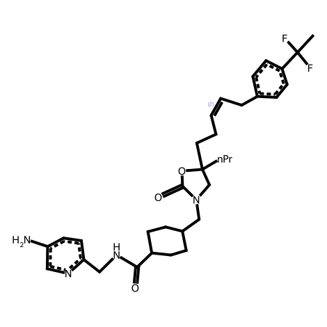 CCCC1(CC/C=C\Cc2ccc(C(C)(F)F)cc2)CN(CC2CCC(C(=O)NCc3ccc(N)cn3)CC2)C(=O)O1